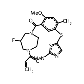 C=CC(=O)N1CCN(C(=O)c2cc(Sc3cnc(NC)s3)c(C)cc2OC)CC(F)C1